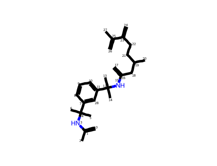 C=C(C)NC(C)(C)c1cccc(C(C)(C)NC(=C)CC(C)CCC(=C)C(=C)C)c1